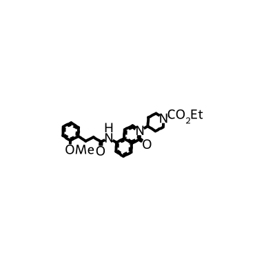 CCOC(=O)N1CCC(n2ccc3c(NC(=O)CCc4ccccc4OC)cccc3c2=O)CC1